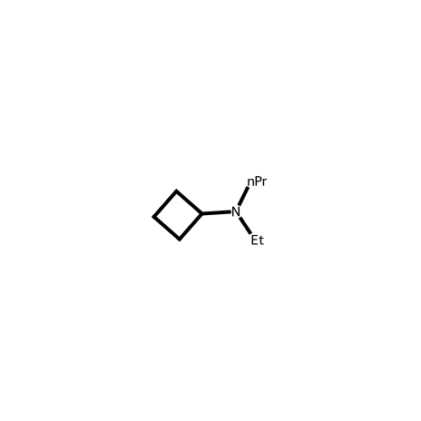 [CH2]CN(CCC)C1CCC1